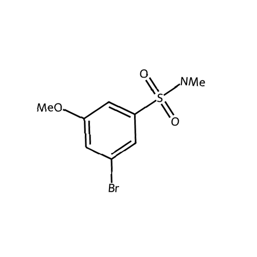 CNS(=O)(=O)c1cc(Br)cc(OC)c1